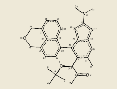 CC(=O)[C@@H](OC(C)(C)C)c1c(C)cc2nc(N(C)C)sc2c1-c1ccc2c3c(ccnc13)COC2